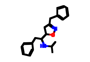 CC(C)NC(Cc1ccccc1)C1CC(Cc2ccccc2)=NO1